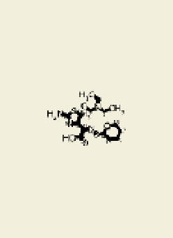 CCN(CC)CC.Nc1nc(C(=NOC2CCCCO2)C(=O)O)cs1